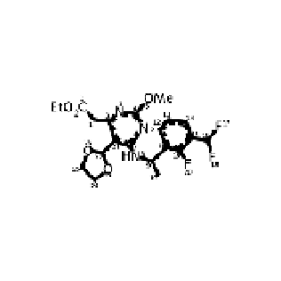 CCOC(=O)Cc1nc(OC)nc(NC(C)c2cccc(C(F)F)c2F)c1C1OCCO1